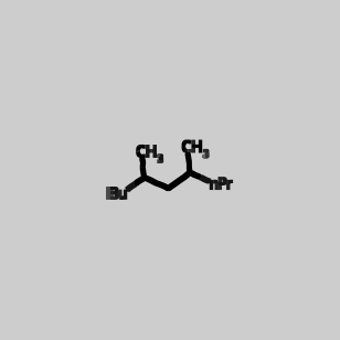 CCCC(C)CC(C)C(C)CC